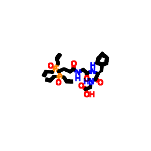 C=CCP(=O)(CC=C)C(CCC(=O)NCC(=O)N[C@@H](Cc1ccccc1)C(=O)NCC(=O)O)P(=O)(CC=C)CC=C